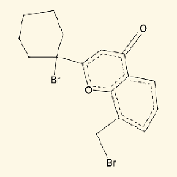 O=c1cc(C2(Br)CCCCC2)oc2c(CBr)cccc12